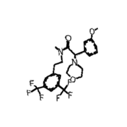 COc1cccc(C(C(=O)N(C)CCc2cc(C(F)(F)F)cc(C(F)(F)F)c2)N2CCOCC2)c1